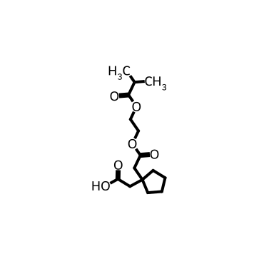 CC(C)C(=O)OCCOC(=O)CC1(CC(=O)O)CCCC1